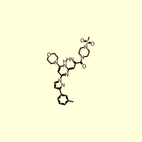 Cc1cccc(-c2ccn(C3=N/C(=C/C(=N)C(=O)N4CCN(S(C)(=O)=O)CC4)NC(N4CCOCC4)=C3)n2)c1